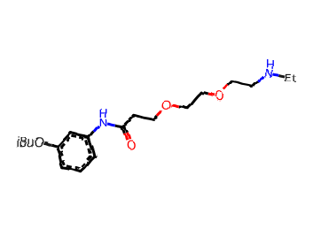 CCNCCOCCOCCC(=O)Nc1cccc(OCC(C)C)c1